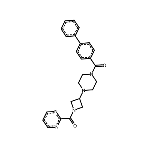 O=C(c1ccc(-c2ccccc2)cc1)N1CCN(C2CN(C(=O)c3ncccn3)C2)CC1